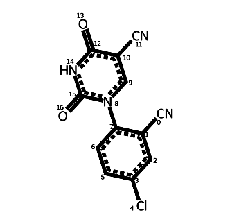 N#Cc1cc(Cl)ccc1-n1cc(C#N)c(=O)[nH]c1=O